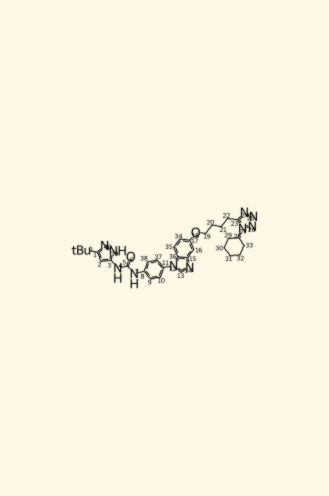 CC(C)(C)c1cc(NC(=O)Nc2ccc(-n3cnc4cc(OCCCCc5nnnn5C5CCCCC5)ccc43)cc2)[nH]n1